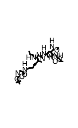 CCCNc1nc(Nc2cnc(NC(=O)OCC)c(C(=N)OC)c2)ncc1C#CCCCNC(=O)CN(C)C(=O)OC(C)(C)C